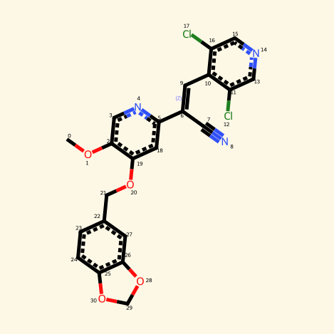 COc1cnc(/C(C#N)=C/c2c(Cl)cncc2Cl)cc1OCc1ccc2c(c1)OCO2